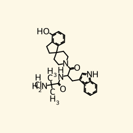 CC(C)(N)C(=O)NC(Cc1c[nH]c2ccccc12)C(=O)N1CCC2(CCc3c(O)cccc32)CC1.Cl